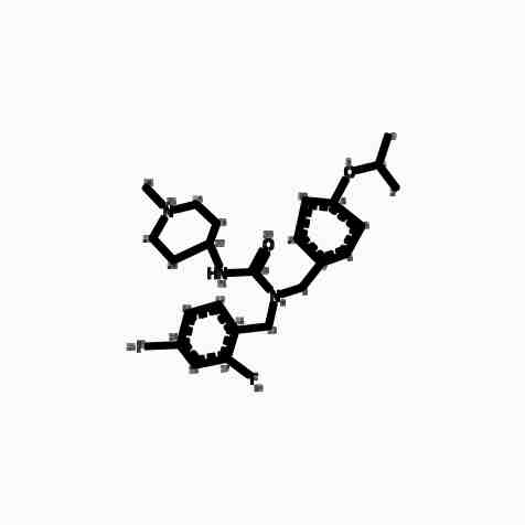 CC(C)Oc1ccc(CN(Cc2ccc(F)cc2F)C(=O)NC2CCN(C)CC2)cc1